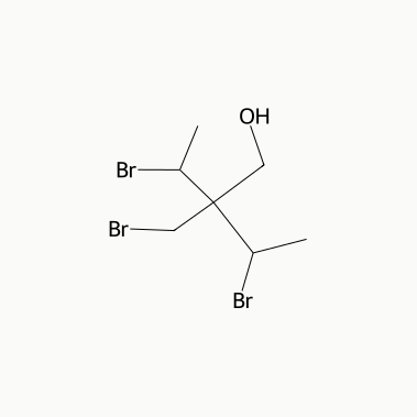 CC(Br)C(CO)(CBr)C(C)Br